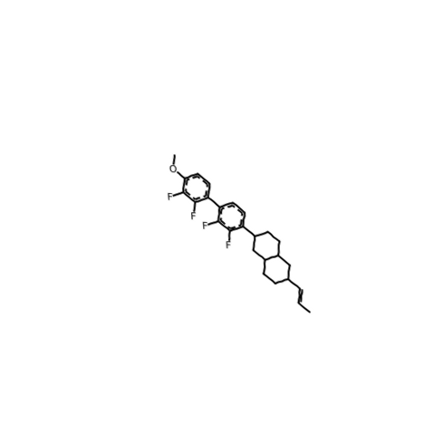 CC=CC1CCC2CC(c3ccc(-c4ccc(OC)c(F)c4F)c(F)c3F)CCC2C1